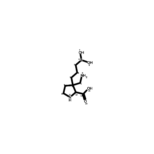 NCC1(CCCB(O)O)CCNC1C(=O)O